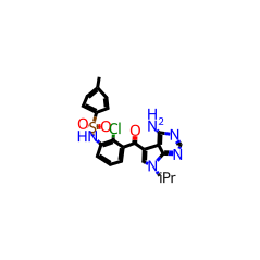 Cc1ccc(S(=O)(=O)Nc2cccc(C(=O)c3cn(C(C)C)c4ncnc(N)c34)c2Cl)cc1